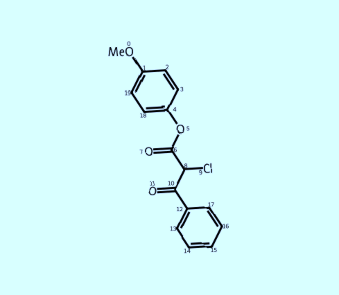 COc1ccc(OC(=O)C(Cl)C(=O)c2ccccc2)cc1